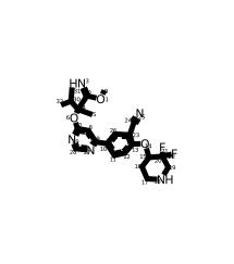 COC(=N)C(C)(Oc1cc(-c2ccc(OC3CCNCC3(F)F)c(C#N)c2)ncn1)C(C)C